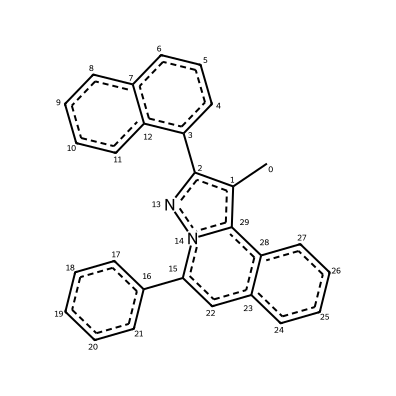 Cc1c(-c2cccc3ccccc23)nn2c(-c3ccccc3)cc3ccccc3c12